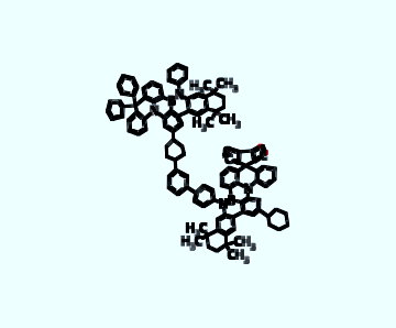 CC1(C)CCC(C)(C)c2cc3c(cc21)-c1cc(C2CCC(c4cccc(-c5ccc(N6B7c8cccc9c8N(c8ccccc8C98c9ccccc9-c9ccccc98)c8cc(C9CCCCC9)cc(c87)-c7cc8c(cc76)C(C)(C)CCC8(C)C)cc5)c4)CC2)cc2c1B(c1cccc4c1N2c1ccccc1C4(c1ccccc1)c1ccccc1)N3c1ccccc1